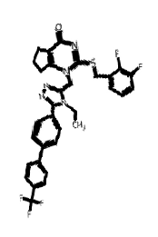 CCn1c(Cn2c(SCc3cccc(F)c3F)nc(=O)c3c2CCC3)nnc1-c1ccc(-c2ccc(C(F)(F)F)cc2)cc1